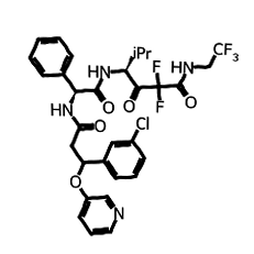 CC(C)[C@H](NC(=O)[C@@H](NC(=O)CC(Oc1cccnc1)c1cccc(Cl)c1)c1ccccc1)C(=O)C(F)(F)C(=O)NCC(F)(F)F